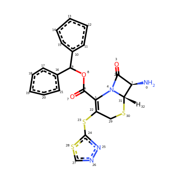 N[C@@H]1C(=O)N2C(C(=O)OC(c3ccccc3)c3ccccc3)=C(Sc3nncs3)CS[C@@H]12